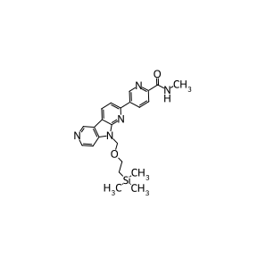 CNC(=O)c1ccc(-c2ccc3c4cnccc4n(COCC[Si](C)(C)C)c3n2)cn1